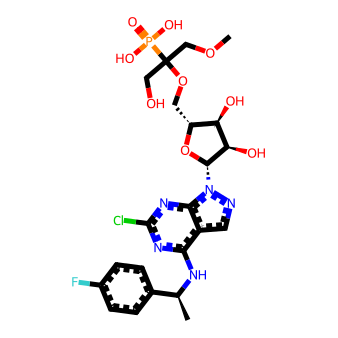 COCC(CO)(OC[C@H]1O[C@@H](n2ncc3c(N[C@@H](C)c4ccc(F)cc4)nc(Cl)nc32)[C@H](O)[C@@H]1O)P(=O)(O)O